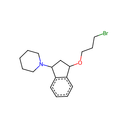 BrCCCOC1CC(N2CCCCC2)c2ccccc21